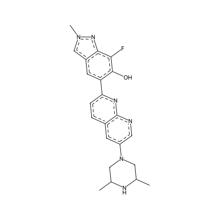 CC1CN(c2cnc3nc(-c4cc5cn(C)nc5c(F)c4O)ccc3c2)CC(C)N1